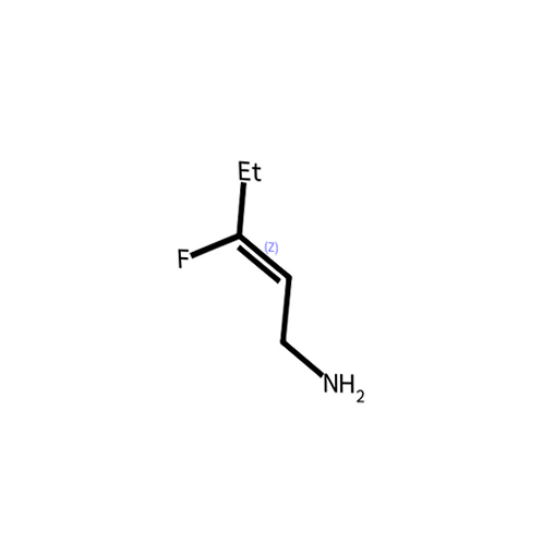 CC/C(F)=C/CN